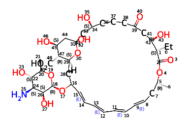 CC[C@@H]1C(=O)O[C@H](C)C/C=C/C=C/C=C/C=C/C(O[C@@H]2O[C@H](C)[C@@H](O)[C@H](N)[C@@H]2O)C[C@@H]2O[C@](O)(C[C@@H](O)CCCC(=O)C[C@H]1O)C[C@H](O)[C@H]2C(=O)O